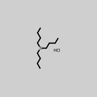 CCC[CH2][Ti]([CH2]CCC)[CH2]CCC.Cl